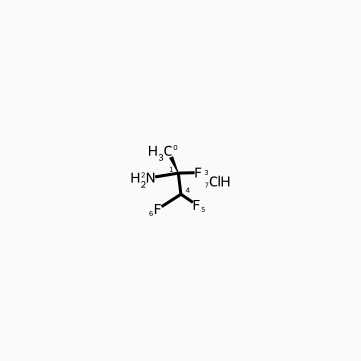 C[C@@](N)(F)C(F)F.Cl